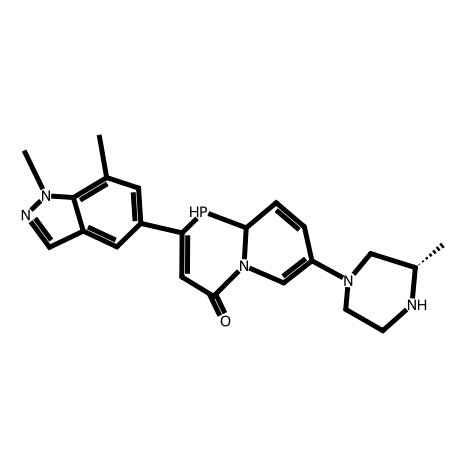 Cc1cc(C2=CC(=O)N3C=C(N4CCN[C@@H](C)C4)C=CC3P2)cc2cnn(C)c12